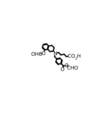 O=COC(=O)c1ccc(CN(CCCCC(=O)O)C2CCc3cccc(OC=O)c3C2)cc1